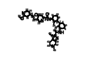 C=C(Nc1cccc(-c2cccc(NC(=O)c3cc4c(cn3)CN(c3ccnc(OC)c3)O4)c2C)c1C)c1nc2c(n1C)CCN(C)C2